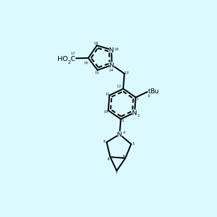 CC(C)(C)c1nc(N2CC3CC3C2)ccc1Cn1cc(C(=O)O)cn1